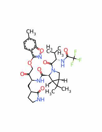 Cc1ccc2c(OCC(=O)[C@H](C[C@@H]3CCNC3=O)NC(=O)[C@@H]3[C@@H]4[C@H](CN3C(=O)[C@@H](NC(=O)C(F)(F)F)C(C)C)C4(C)C)noc2c1